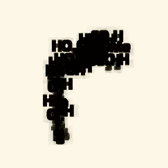 CO[C@H]1C(COS(=O)(=O)O)O[C@@H](O[C@H]2C(C(=O)O)O[C@@H](OCC(O)[C@@H](O)[C@@H](O)C(O)CNc3cccc(NC(=O)CCCNC(=O)CNC(=O)CCCCC4CCSS4)c3)C(OS(=O)(=O)O)[C@@H]2O)C(NS(=O)(=O)O)[C@@H]1O